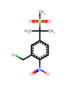 CC(C)(c1ccc([N+](=O)[O-])c(CBr)c1)S(C)(=O)=O